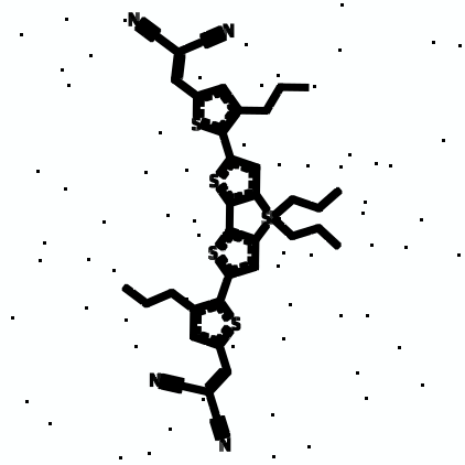 CCCc1cc(C=C(C#N)C#N)sc1-c1cc2c(s1)-c1sc(-c3sc(C=C(C#N)C#N)cc3CCC)cc1[Si]2(CCC)CCC